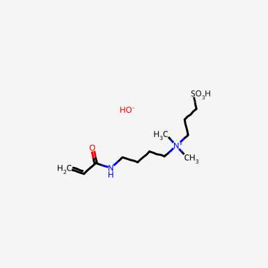 C=CC(=O)NCCCC[N+](C)(C)CCCS(=O)(=O)O.[OH-]